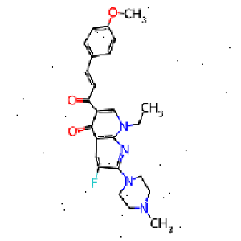 CCn1cc(C(=O)C=Cc2ccc(OC)cc2)c(=O)c2cc(F)c(N3CCN(C)CC3)nc21